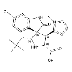 Cn1cccc1[C@H]1[C@H](C(=O)O)N[C@H](CC(C)(C)C)[C@]12C(=O)Nc1cc(Cl)ccc12